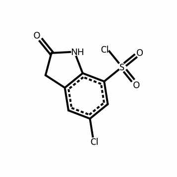 O=C1Cc2cc(Cl)cc(S(=O)(=O)Cl)c2N1